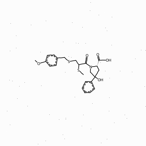 COc1ccc(CSCC(SC)C(=O)N2CC(O)(c3ccccc3)C[C@H]2C(=O)O)cc1